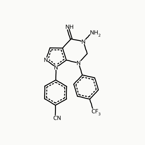 N#Cc1ccc(-n2ncc3c2N(c2ccc(C(F)(F)F)cc2)CN(N)C3=N)cc1